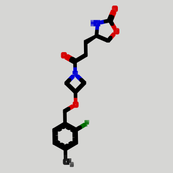 O=C1N[C@H](CCC(=O)N2CC(OCc3ccc(C(F)(F)F)cc3F)C2)CO1